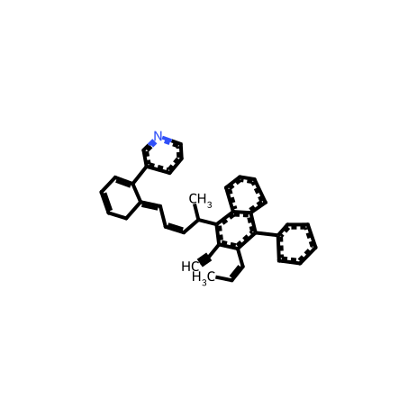 C#Cc1c(/C=C\C)c(-c2ccccc2)c2ccccc2c1C(C)/C=C\C=C1/CC=CC=C1c1cccnc1